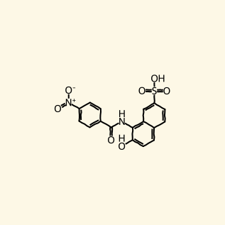 O=C(Nc1c(O)ccc2ccc(S(=O)(=O)O)cc12)c1ccc([N+](=O)[O-])cc1